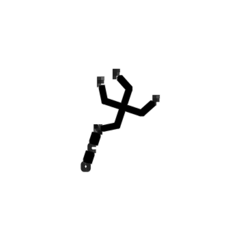 O=C=NCC(CF)(CF)CF